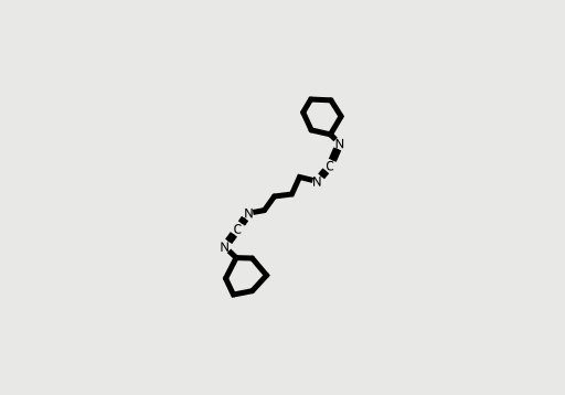 C(=NCCCCN=C=NC1CCCCC1)=NC1CCCCC1